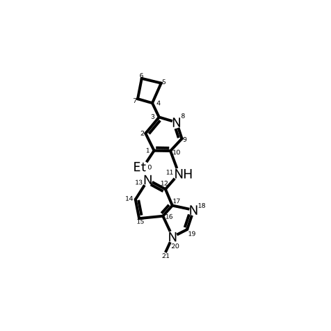 CCc1cc(C2CCC2)ncc1Nc1nccc2c1ncn2C